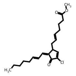 CCCCCC=CC=C1C(=O)C(Cl)=CC1CC=CCCCC(=O)OC